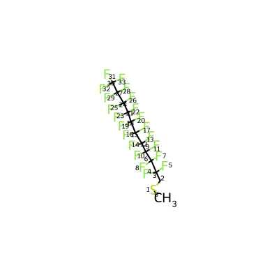 CSCC(F)(F)C(F)(F)C(F)(F)C(F)(F)C(F)(F)C(F)(F)C(F)(F)C(F)(F)C(F)(F)C(F)(F)F